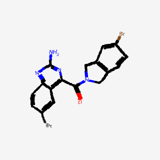 CC(C)c1ccc2nc(N)nc(C(=O)N3Cc4ccc(Br)cc4C3)c2c1